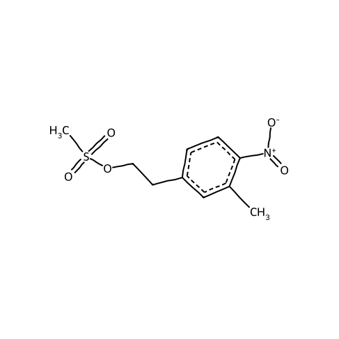 Cc1cc(CCOS(C)(=O)=O)ccc1[N+](=O)[O-]